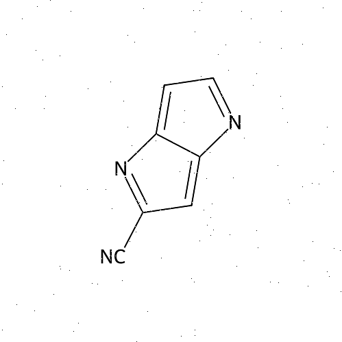 N#CC1=NC2=CC=NC2=C1